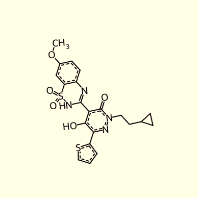 COc1ccc2c(c1)S(=O)(=O)NC(c1c(O)c(-c3cccs3)nn(CCC3CC3)c1=O)=N2